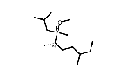 CCC(C)CC[C@H](C)[PH](C)(CC(C)C)OC